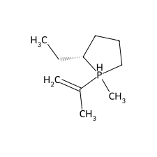 C=C(C)[PH]1(C)CCC[C@H]1CC